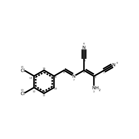 N#CC(N)=C(C#N)N=Cc1ccc(Cl)c(Cl)c1